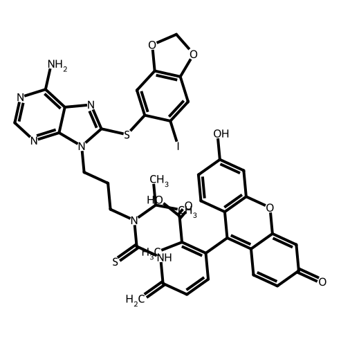 C=C(/C=C\C(=C(/C)C(=O)O)c1c2ccc(=O)cc-2oc2cc(O)ccc12)NC(=S)N(CCCn1c(Sc2cc3c(cc2I)OCO3)nc2c(N)ncnc21)C(C)C